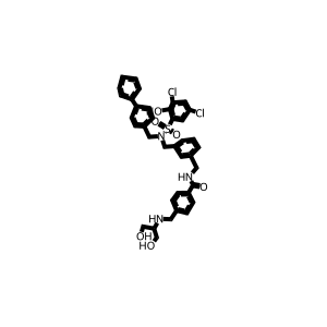 O=C(NCc1cccc(CN(Cc2ccc(-c3ccccc3)cc2)S(=O)(=O)c2cc(Cl)cc(Cl)c2O)c1)c1ccc(CNC(CO)CO)cc1